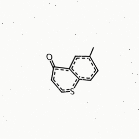 Cc1ccc2sccc(=O)c2c1